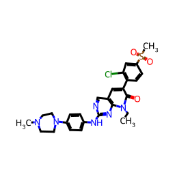 CCn1c(=O)c(-c2ccc(S(C)(=O)=O)cc2Cl)cc2cnc(Nc3ccc(N4CCN(C)CC4)cc3)nc21